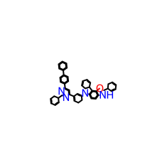 C1=CCC(c2nc(C3=CCCC(N4c5ccc6c(c5C5C=CC=CC54)OC(C4C=CC=CC4)N6)=C3)cc(-c3ccc(-c4ccccc4)cc3)n2)C=C1